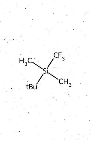 CC(C)(C)[Si](C)(C)C(F)(F)F